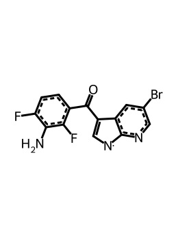 Nc1c(F)ccc(C(=O)C2=C[N]c3ncc(Br)cc32)c1F